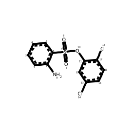 Nc1ccccc1S(=O)(=O)Oc1cc(Cl)ccc1Cl